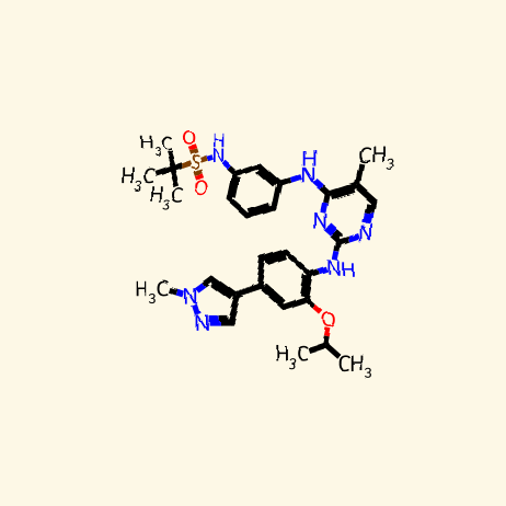 Cc1cnc(Nc2ccc(-c3cnn(C)c3)cc2OC(C)C)nc1Nc1cccc(NS(=O)(=O)C(C)(C)C)c1